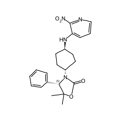 CC1(C)OC(=O)N([C@H]2CC[C@H](Nc3cccnc3[N+](=O)[O-])CC2)[C@H]1c1ccccc1